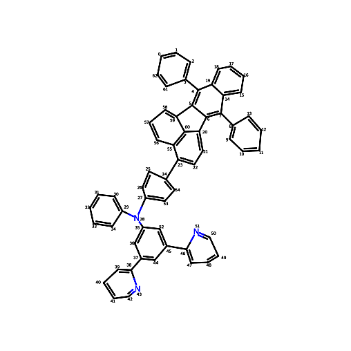 c1ccc(-c2c3c(c(-c4ccccc4)c4ccccc24)-c2ccc(-c4ccc(N(c5ccccc5)c5cc(-c6ccccn6)cc(-c6ccccn6)c5)cc4)c4cccc-3c24)cc1